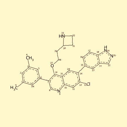 Cc1cc(C)cc(-c2cnc3cc(Cl)c(-c4ccc5[nH]ncc5c4)cc3c2OCCC2CCN2)c1